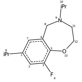 CC(C)c1cc(F)c2c(c1)CN(C(C)C)CCO2